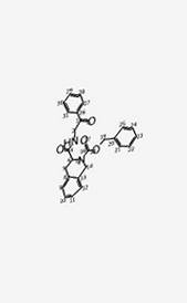 O=C(CNC(=O)C1Cc2ccccc2CN1C(=O)OCc1ccccc1)c1ccccc1